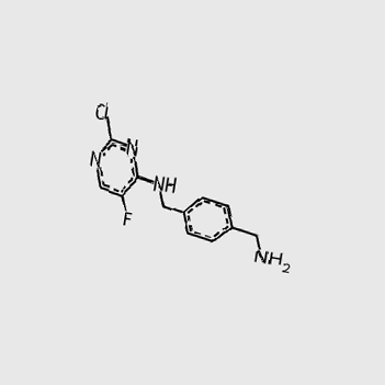 NCc1ccc(CNc2nc(Cl)ncc2F)cc1